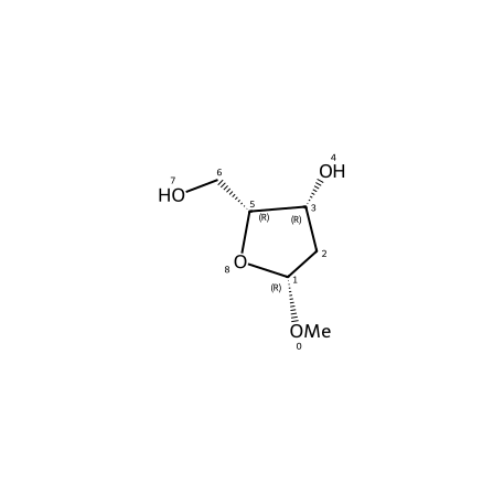 CO[C@H]1C[C@@H](O)[C@@H](CO)O1